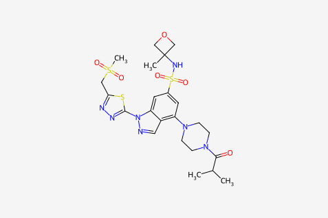 CC(C)C(=O)N1CCN(c2cc(S(=O)(=O)NC3(C)COC3)cc3c2cnn3-c2nnc(CS(C)(=O)=O)s2)CC1